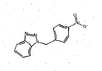 O=[N+]([O-])c1ccc(Cn2nnc3ccccc32)cc1